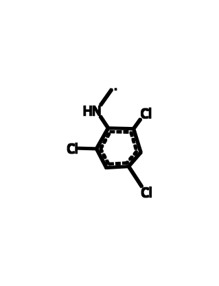 [CH2]Nc1c(Cl)cc(Cl)cc1Cl